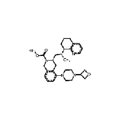 CN(C[C@H]1Cc2c(cccc2N2CCN(C3COC3)CC2)CN1C(=O)OC(C)(C)C)[C@H]1CCCc2cccnc21